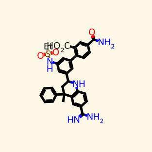 CCS(=O)(=O)Nc1cc(-c2ccc(C(N)=O)cc2C(=O)O)cc(C2CC(C)(c3ccccc3)c3cc(C(=N)N)ccc3N2)c1